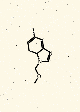 COCN1C=NC2=CC(C)=CCC21